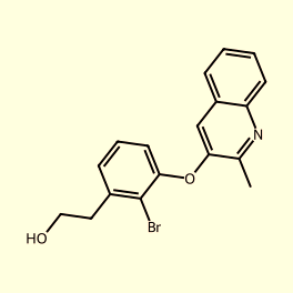 Cc1nc2ccccc2cc1Oc1cccc(CCO)c1Br